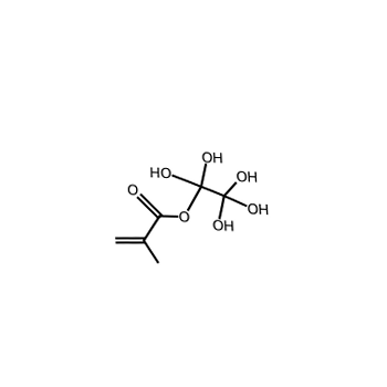 C=C(C)C(=O)OC(O)(O)C(O)(O)O